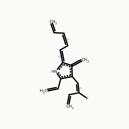 C=C/C=C\C=c1\[nH]c(C=C)c(/C=C(/F)C=C)c1=C